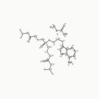 CC(C)OC(=O)OCOP(=O)(CO[C@H](C)Cn1cnc2c(N)ncnc21)OCOC(=O)OC(C)C.NCC(=O)O